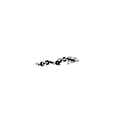 CCOc1cnc(N2CCC(CCCOc3cc(F)c(CC(=O)N4CCN(C[C@H](O)[C@@H](O)[C@H](O)[C@H](O)CO)CC4)c(F)c3)CC2)nc1